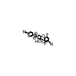 N#Cc1ccc(S(=O)(=O)N2C[C@H](Oc3cc(F)c(C#N)cc3F)[C@](O)(CO)C2)cn1